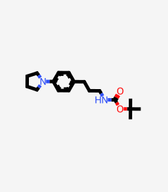 CC(C)(C)OC(=O)NCCCc1ccc(N2CCCC2)cc1